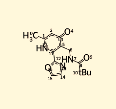 Cc1cc(=O)c(CNC(=O)C(C)(C)C)c(-c2ncco2)[nH]1